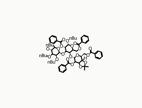 CCCCOC1[C@H](OCCCC)C(C)O[C@@H](OC2[C@H](O[C@@H]3O[C@@H](COC(=O)c4ccccc4)[C@@H]4OC(C)(C)OC4C3OC(=O)c3ccccc3)C(COC(=O)c3ccccc3)O[C@@H](OCCCC)[C@H]2OC(=O)c2ccccc2)[C@H]1OCCCC